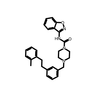 Cc1ccccc1CCc1cccc(CN2CCN(C(=O)Nc3noc4ccccc34)CC2)c1